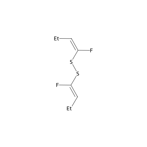 CCC=C(F)SSC(F)=CCC